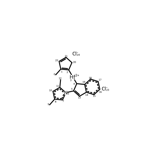 CC1=[C]([Hf+2][CH]2C(n3cc(C)cc3C)=Cc3ccccc32)CC=C1.[Cl-].[Cl-]